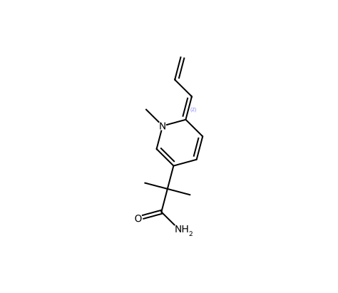 C=C/C=C1/C=CC(C(C)(C)C(N)=O)=CN1C